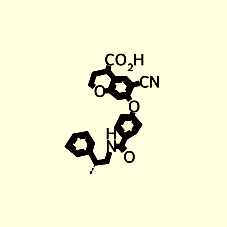 C[C@@H](CNC(=O)c1ccc(Oc2cc3c(cc2C#N)C(C(=O)O)CCO3)cc1)c1ccccc1